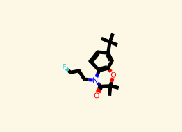 CC1(C)Oc2cc(C(C)(C)C)ccc2N(CCCF)C1=O